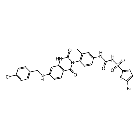 Cc1cc(NC(=O)NS(=O)(=O)c2ccc(Br)s2)ccc1-n1c(=O)[nH]c2cc(NCc3ccc(Cl)cc3)ccc2c1=O